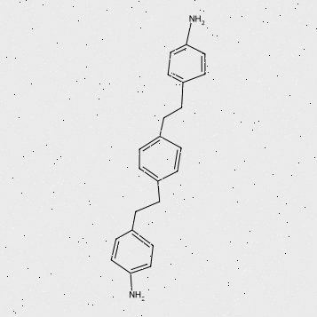 Nc1ccc(CCc2ccc(CCc3ccc(N)cc3)cc2)cc1